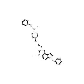 CC(C)(C)OC(=O)N(CCOCC1CCN(C(=O)OCc2ccccc2)CC1)Cc1cccc2c1ccn2Cc1ccccc1